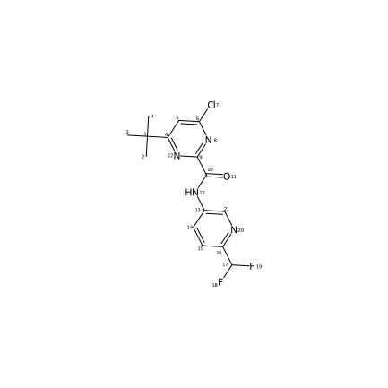 CC(C)(C)c1cc(Cl)nc(C(=O)Nc2ccc(C(F)F)nc2)n1